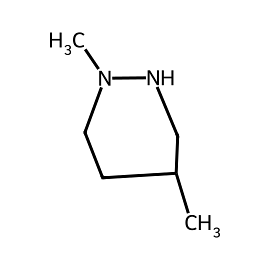 CC1CCN(C)NC1